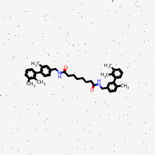 Cc1cc(CNC(=O)CCCCCCC(=O)NCc2ccc(C)c(-c3cccc(C)c3C)c2)ccc1-c1cccc(C)c1C